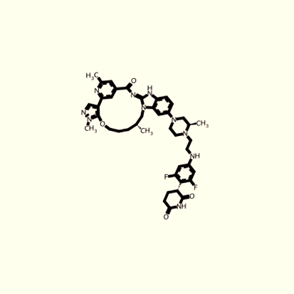 Cc1cc2cc(n1)-c1cnn(C)c1OCCC[C@@H](C)CN1/C(=N/C2=O)Nc2ccc(N3CCN(CCNc4cc(F)c([C@H]5CCC(=O)NC5=O)c(F)c4)[C@H](C)C3)cc21